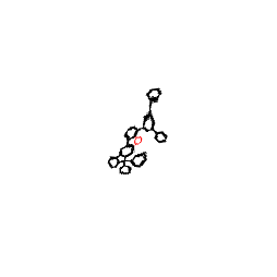 c1ccc(-c2cc(-c3ccccc3)cc(-c3cccc4c3oc3cc5c(cc34)-c3ccccc3C5(c3ccccc3)c3ccccc3)c2)cc1